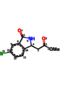 COC(=O)CC1NC(=O)c2cc(Br)ccc21